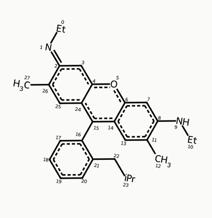 CC/N=c1\cc2oc3cc(NCC)c(C)cc3c(-c3ccccc3CC(C)C)c-2cc1C